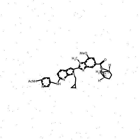 COc1cc(C(=O)N2C[C@H]3CC[C@@H]2[C@@H]3N)cc2nc(-c3cc4ccc(Nc5ccc(NC(C)=O)nc5)nc4n3CC3CC3)n(C)c12